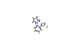 FC(F)(F)c1c[c]ccc1-n1cccn1